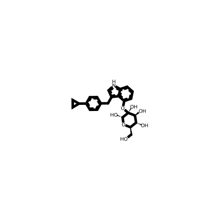 OC[C@H]1O[C@H](O)[C@@](O)(Oc2cccc3[nH]cc(Cc4ccc(C5CC5)cc4)c23)[C@@H](O)[C@@H]1O